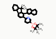 CC1(C)c2ccccc2-c2ccc(-c3ccc(B4OC(C)(C)C(C)(C)O4)cn3)c(-c3ccc4ccccc4c3)c21